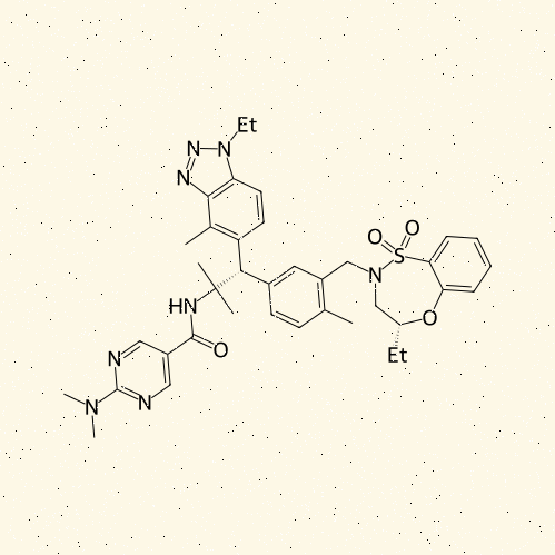 CC[C@@H]1CN(Cc2cc([C@@H](c3ccc4c(nnn4CC)c3C)C(C)(C)NC(=O)c3cnc(N(C)C)nc3)ccc2C)S(=O)(=O)c2ccccc2O1